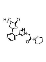 C=C1CC(c2ccccc2-c2cnn(CC(=O)N3CCCCC3)c2)OC1=O